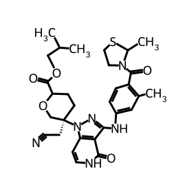 Cc1cc(Nc2nn([C@]3(CC#N)CCC(C(=O)OCC(C)C)OC3)c3cc[nH]c(=O)c23)ccc1C(=O)N1CCSC1C